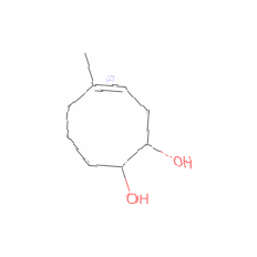 C/C1=C/CC(O)C(O)CCC1